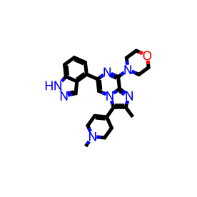 Cc1nc2c(N3CCOCC3)nc(-c3cccc4[nH]ncc34)cn2c1C1=CCN(C)CC1